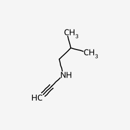 C#CNCC(C)C